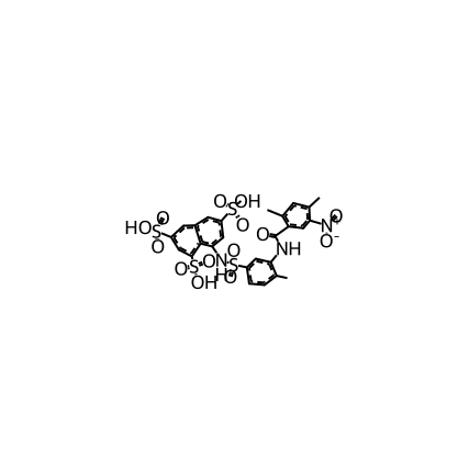 Cc1ccc(S(=O)(=O)Nc2cc(S(=O)(=O)O)cc3cc(S(=O)(=O)O)cc(S(=O)(=O)O)c23)cc1NC(=O)c1cc([N+](=O)[O-])c(C)cc1C